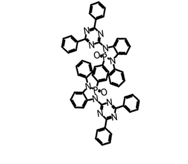 O=P1(c2ccc(P3(=O)N(c4ccccc4)c4ccccc4N3c3nc(-c4ccccc4)nc(-c4ccccc4)n3)cc2)N(c2ccccc2)c2ccccc2N1c1nc(-c2ccccc2)nc(-c2ccccc2)n1